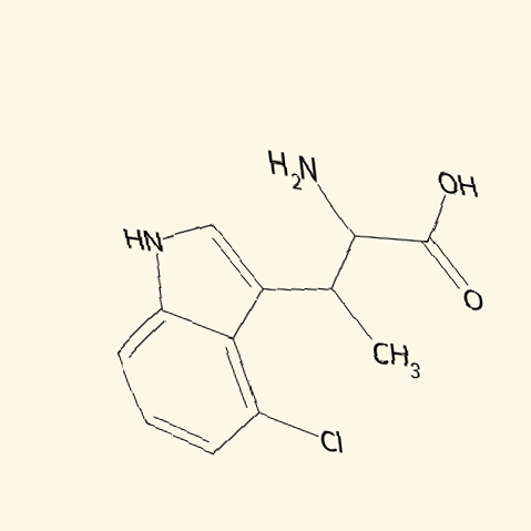 CC(c1c[nH]c2cccc(Cl)c12)C(N)C(=O)O